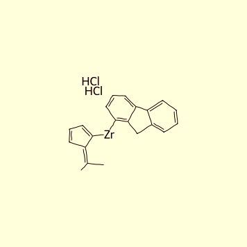 CC(C)=C1C=CC=[C]1[Zr][c]1cccc2c1Cc1ccccc1-2.Cl.Cl